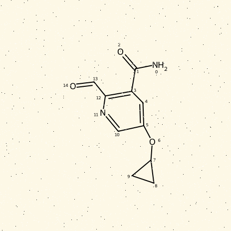 NC(=O)c1cc(OC2CC2)cnc1C=O